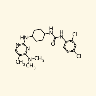 Cc1cnc(NC2CCC(NC(=O)Nc3ccc(Cl)cc3Cl)CC2)nc1N(C)C